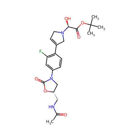 CC(=O)NC[C@H]1CN(c2ccc(C3=CCN([C@@H](O)C(=O)OC(C)(C)C)C3)c(F)c2)C(=O)O1